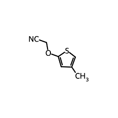 Cc1csc(OCC#N)c1